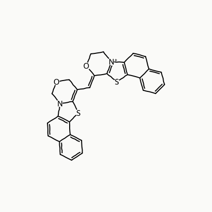 C(=C1OCC[n+]2c1sc1c3ccccc3ccc12)C1=C2Sc3c(ccc4ccccc34)N2COC1